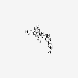 Cc1csc2c(-n3nc(Nc4ccc(N5CCN(CC6CC6)CC5)nc4)nc3N)nc(Cl)nc12